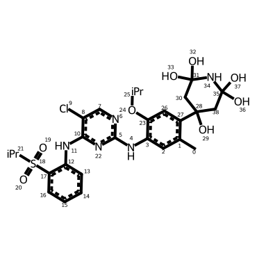 Cc1cc(Nc2ncc(Cl)c(Nc3ccccc3S(=O)(=O)C(C)C)n2)c(OC(C)C)cc1C1(O)CC(O)(O)NC(O)(O)C1